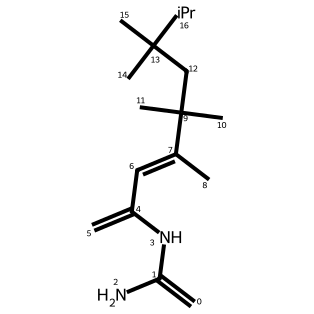 C=C(N)NC(=C)/C=C(\C)C(C)(C)CC(C)(C)C(C)C